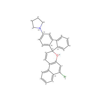 Brc1cc2c(c3ccccc13)C=CC(c1ccccc1)(c1ccc(N3CCCC3)cc1)O2